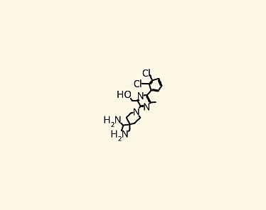 Cc1nc(N2CCC(CN)(C(C)N)CC2)c(CO)nc1-c1cccc(Cl)c1Cl